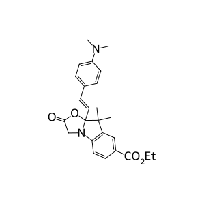 CCOC(=O)c1ccc2c(c1)C(C)(C)C1(C=Cc3ccc(N(C)C)cc3)OC(=O)CN21